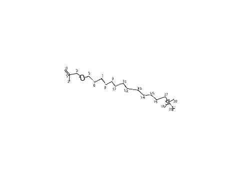 C=C(C)COCCCCCCCCCCCCC[Si](C)(C)F